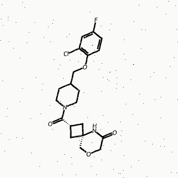 O=C1COC[C@]2(C[C@@H](C(=O)N3CCC(COc4ccc(F)cc4Cl)CC3)C2)N1